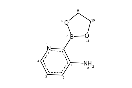 Nc1cccnc1B1OCCO1